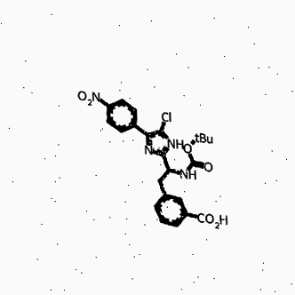 CC(C)(C)OC(=O)NC(Cc1cccc(C(=O)O)c1)c1nc(-c2ccc([N+](=O)[O-])cc2)c(Cl)[nH]1